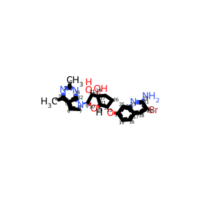 Cc1nc(C)c2ccn([C@@H]3O[C@@H]4[C@@H](Oc5ccc6cc(Br)c(N)nc6c5)CC[C@]4(O)[C@H]3O)c2n1